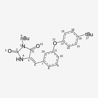 CCCCN1C(=O)NC(=Cc2cccc(Oc3ccc(C(C)(C)C)cc3)c2)C1=O